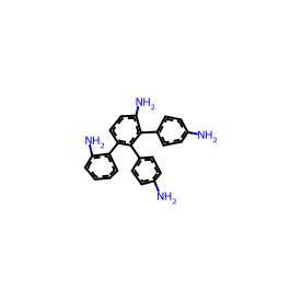 Nc1ccc(-c2c(N)ccc(-c3ccccc3N)c2-c2ccc(N)cc2)cc1